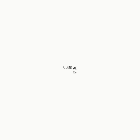 [Al].[Cu].[Fe].[Si]